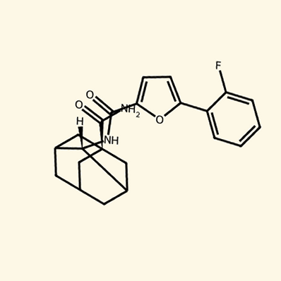 NC(=O)[C@]12CC3CC(C1)[C@@H](NC(=O)c1ccc(-c4ccccc4F)o1)C(C3)C2